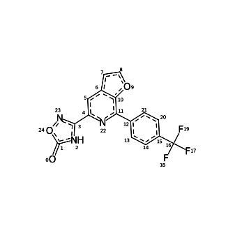 O=c1[nH]c(-c2cc3ccoc3c(-c3ccc(C(F)(F)F)cc3)n2)no1